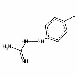 N=C(N)NNc1ccc(F)cc1